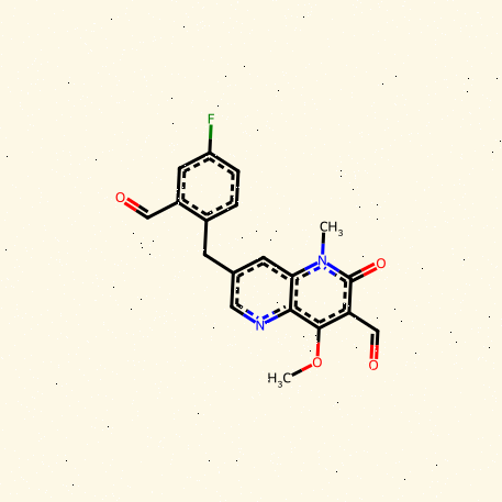 COc1c(C=O)c(=O)n(C)c2cc(Cc3ccc(F)cc3C=O)cnc12